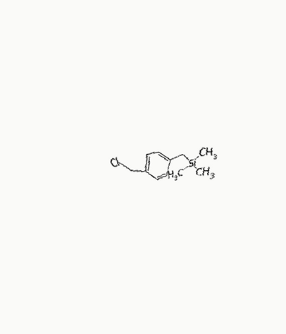 C[Si](C)(C)Cc1ccc(CCl)cc1